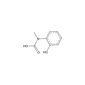 CN(C(=O)O)c1ccccc1O